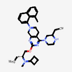 COC[C@H](COc1nc2c(c(N3CCNC(CC#N)C3)n1)CCN(c1cccc3cccc(C)c13)C2)N(C)C1CCC1